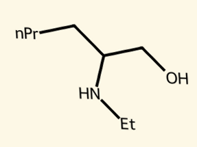 CCCCC(CO)NCC